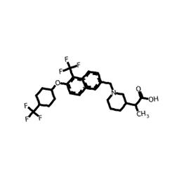 CC(C(=O)O)C1CCCN(Cc2ccc3c(C(F)(F)F)c(OC4CCC(C(F)(F)F)CC4)ccc3c2)C1